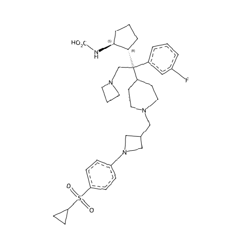 O=C(O)N[C@H]1CCC[C@@H]1C(CN1CCC1)(c1cccc(F)c1)C1CCN(CC2CN(c3ccc(S(=O)(=O)C4CC4)cc3)C2)CC1